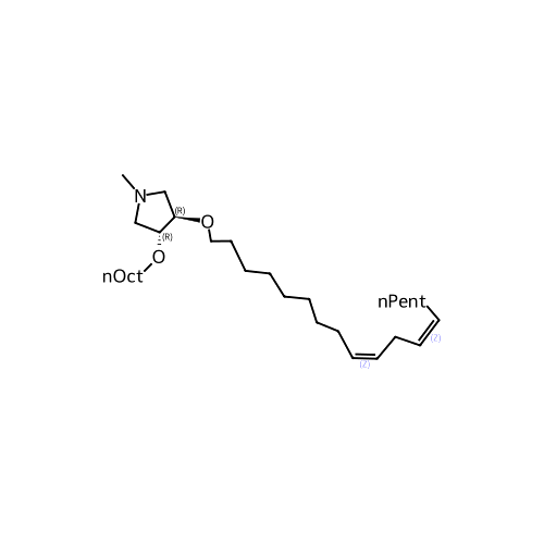 CCCCC/C=C\C/C=C\CCCCCCCCO[C@@H]1CN(C)C[C@H]1OCCCCCCCC